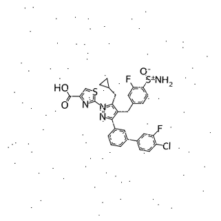 N[S+]([O-])c1ccc(Cc2c(-c3cccc(-c4ccc(Cl)c(F)c4)c3)nn(-c3nc(C(=O)O)cs3)c2CC2CC2)cc1F